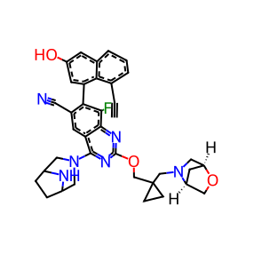 C#Cc1cccc2cc(O)cc(-c3c(C#N)cc4c(N5CC6CCC(C5)N6)nc(OCC5(CN6C[C@@H]7C[C@H]6CO7)CC5)nc4c3F)c12